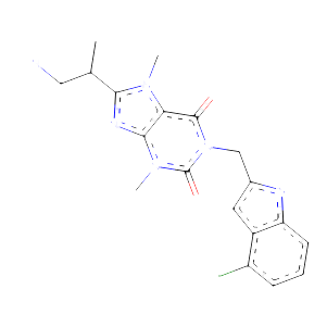 CC(CN)c1nc2c(c(=O)n(Cc3cc4c(Cl)cccc4[nH]3)c(=O)n2C)n1C